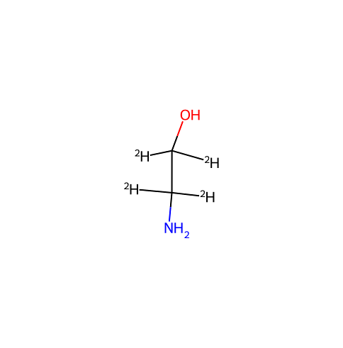 [2H]C([2H])(N)C([2H])([2H])O